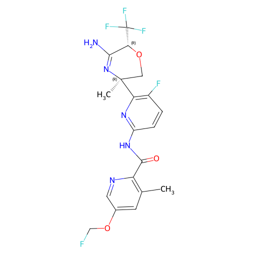 Cc1cc(OCF)cnc1C(=O)Nc1ccc(F)c([C@]2(C)CO[C@@H](C(F)(F)F)C(N)=N2)n1